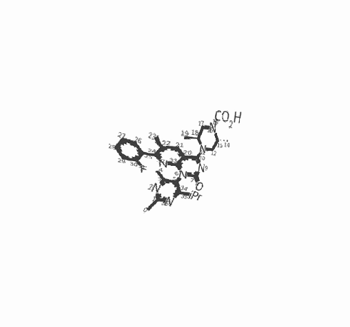 Cc1nc(C)c(-n2c(=O)nc(N3C[C@@H](C)N(C(=O)O)C[C@@H]3C)c3cc(C)c(-c4ccccc4F)nc32)c(C(C)C)n1